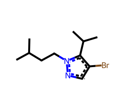 CC(C)CCn1n[c]c(Br)c1C(C)C